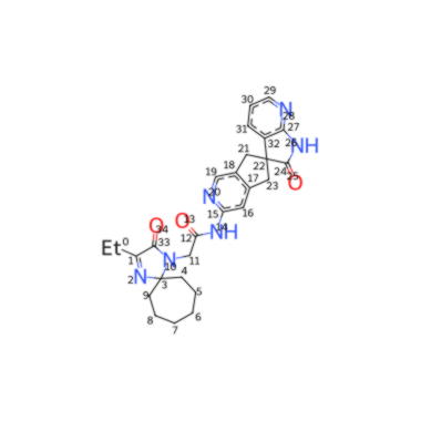 CCC1=NC2(CCCCCC2)N(CC(=O)Nc2cc3c(cn2)CC2(C3)C(=O)Nc3ncccc32)C1=O